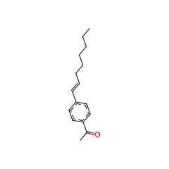 CCCCCC/C=C/c1ccc(C(C)=O)cc1